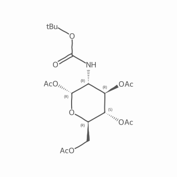 CC(=O)OC[C@H]1O[C@H](OC(C)=O)[C@H](NC(=O)OC(C)(C)C)[C@@H](OC(C)=O)[C@@H]1OC(C)=O